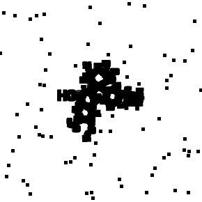 CSc1cc2c(O)cc3c(c2cc1SC)-c1ccc(SC(F)(F)F)cc1C31CC(C)(C)CC(C)(C)C1